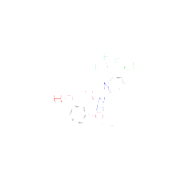 CCOc1cccc(O)c1C(=O)Nc1ccc(Cl)c(C(F)(F)F)n1